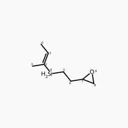 CC=C(C)[SiH2]CCC1CO1